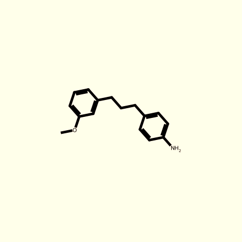 COc1cccc(CCCc2ccc(N)cc2)c1